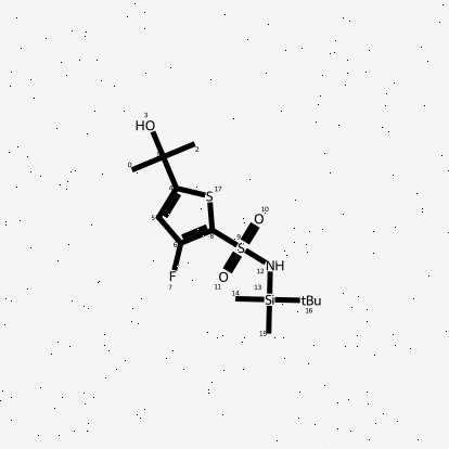 CC(C)(O)c1cc(F)c(S(=O)(=O)N[Si](C)(C)C(C)(C)C)s1